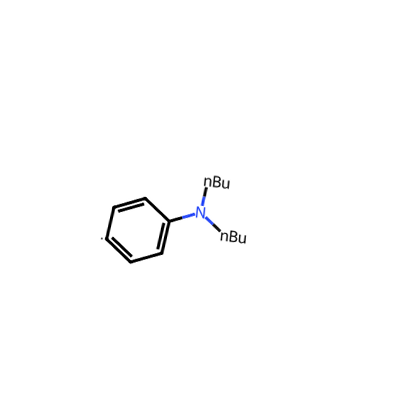 CCCCN(CCCC)c1cc[c]cc1